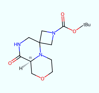 CC(C)(C)OC(=O)N1CC2(CNC(=O)[C@@H]3COCCN32)C1